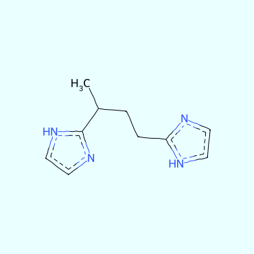 CC(CCc1ncc[nH]1)c1ncc[nH]1